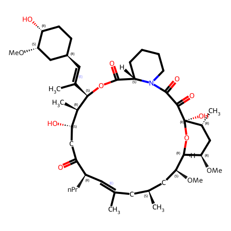 CCC[C@@H]1/C=C(\C)C[C@H](C)C[C@H](OC)[C@H]2O[C@@](O)(C(=O)C(=O)N3CCCC[C@H]3C(=O)O[C@H](/C(C)=C/[C@@H]3CC[C@@H](O)[C@@H](OC)C3)[C@H](C)[C@@H](O)CC1=O)[C@H](C)C[C@H]2OC